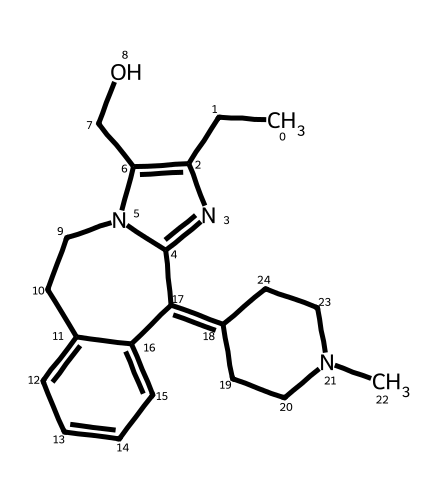 CCc1nc2n(c1CO)CCc1ccccc1C2=C1CCN(C)CC1